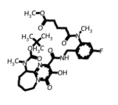 COC(=O)CCCC(=O)N(C)c1cc(F)ccc1CNC(=O)c1nc2n(c(=O)c1O)CCCCC2N(C)C(=O)OC(C)(C)C